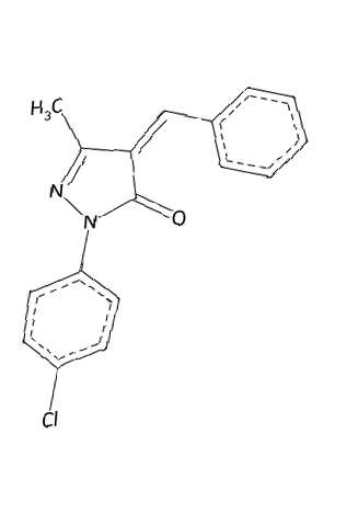 CC1=NN(c2ccc(Cl)cc2)C(=O)C1=Cc1ccccc1